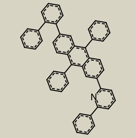 c1ccc(-c2cccc(-c3ccc4c(-c5ccccc5)c5cc(-c6ccccc6-c6ccccc6)ccc5c(-c5ccccc5)c4c3)n2)cc1